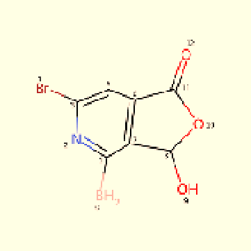 Bc1nc(Br)cc2c1C(O)OC2=O